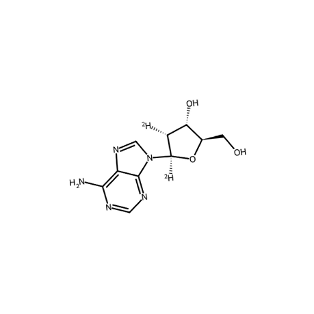 [2H][C@@H]1[C@H](O)[C@@H](CO)O[C@@]1([2H])n1cnc2c(N)ncnc21